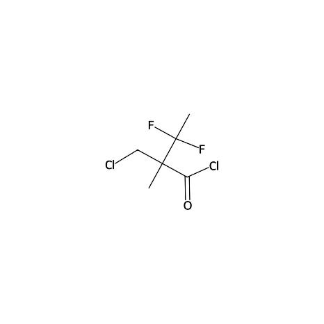 CC(F)(F)C(C)(CCl)C(=O)Cl